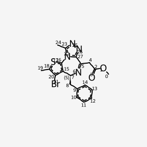 COC(=O)CC1=N[C@@H](Cc2ccccc2)c2c(sc(C)c2Br)-n2c(C)nnc21